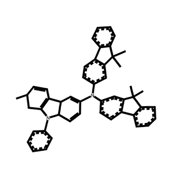 CC1C=CC2=C(C1)N(c1ccccc1)C1C=CC(N(c3ccc4c(c3)C(C)(C)c3ccccc3-4)c3ccc4c(c3)C(C)(C)c3ccccc3-4)=CC21